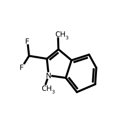 Cc1c(C(F)F)n(C)c2ccccc12